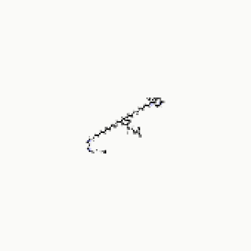 CCCCC/C=C\C/C=C\CCCCCCCCOCC(COCCCCCCCC/C=C\C/C=C\CCCCC)OC(=O)NCCN(C)C